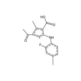 CC(=O)c1sc(Nc2ccc(I)cc2F)c(C(=O)O)c1C